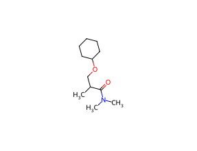 CC(COC1CCCCC1)C(=O)N(C)C